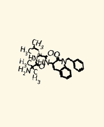 CC(C)C[C@@H](NC(=O)C(C)(C)N)C(=O)NC1Cc2ccccc2N(Cc2ccccc2)C1=O